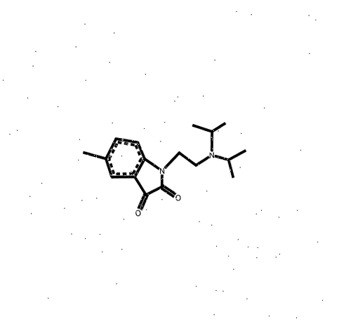 Cc1ccc2c(c1)C(=O)C(=O)N2CCN(C(C)C)C(C)C